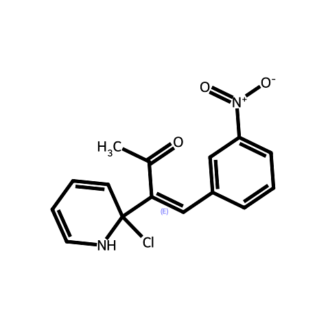 CC(=O)/C(=C\c1cccc([N+](=O)[O-])c1)C1(Cl)C=CC=CN1